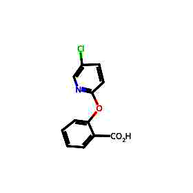 O=C(O)c1ccccc1Oc1ccc(Cl)cn1